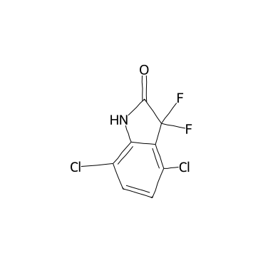 O=C1Nc2c(Cl)ccc(Cl)c2C1(F)F